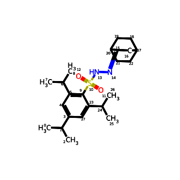 CC(C)c1cc(C(C)C)c(S(=O)(=O)NN=C2CC3CCC2CC3)c(C(C)C)c1